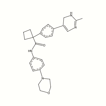 CC1=NC=C(c2ccc(C3(C(=O)Nc4ccc(N5CCOCC5)cc4)CCC3)cc2)CN1